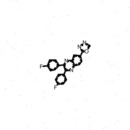 Fc1ccc(-c2nc3ccc(-c4nnco4)cc3nc2-c2ccc(F)cc2)cc1